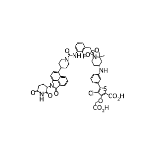 CC1(C)C[C@H](Nc2cccc(-c3sc(C(=O)O)c(OCC(=O)O)c3Cl)c2)CCN1S(=O)(=O)Cc1cccc(NC(=O)N2CCC(c3ccc4c5c(cccc35)C(=O)N4C3CCC(=O)NC3=O)CC2)c1F